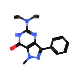 CCCN(CCC)c1nc2c(-c3ccccc3)nn(C)c2c(=O)[nH]1